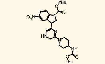 CC(C)(C)OC(=O)NC1CCN(C2=NC(C3CN(C(=O)OC(C)(C)C)c4ccc([N+](=O)[O-])cc43)=CNC2)CC1